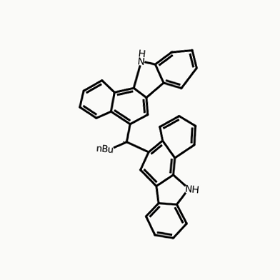 CCCC[C](c1cc2c3ccccc3[nH]c2c2ccccc12)c1cc2c3ccccc3[nH]c2c2ccccc12